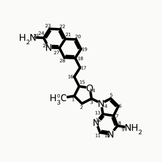 CC1CC(n2ccc3c(N)ncnc32)OC1CCc1ccc2ccc(N)nc2c1